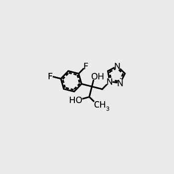 CC(O)C(O)(Cn1cncn1)c1ccc(F)cc1F